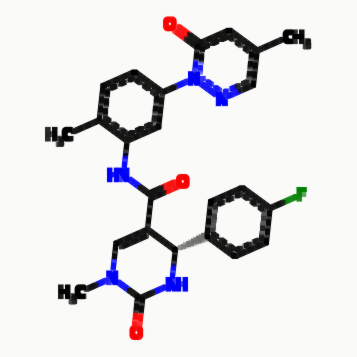 Cc1cnn(-c2ccc(C)c(NC(=O)C3=CN(C)C(=O)N[C@H]3c3ccc(F)cc3)c2)c(=O)c1